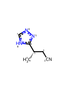 C[C@@H](CC#N)c1nnc[nH]1